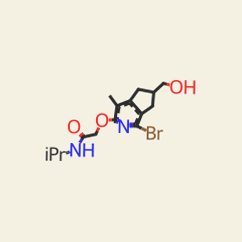 Cc1c(OCC(=O)NC(C)C)nc(Br)c2c1CC(CO)C2